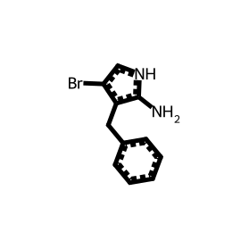 Nc1[nH]cc(Br)c1Cc1ccccc1